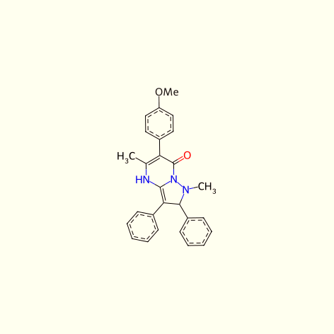 COc1ccc(C2=C(C)NC3=C(c4ccccc4)C(c4ccccc4)N(C)N3C2=O)cc1